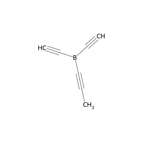 C#CB(C#C)C#CC